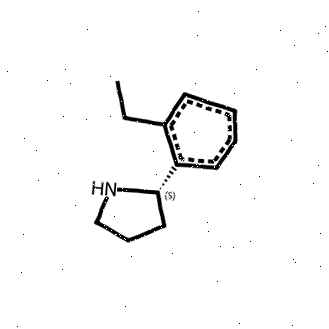 CCc1ccccc1[C@@H]1CCCN1